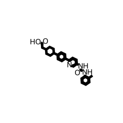 Cc1ccccc1NC(=O)Nc1ccc(-c2ccc(C3CCC(CC(=O)O)CC3)cc2)nc1